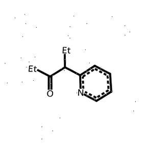 CCC(=O)C(CC)c1ccccn1